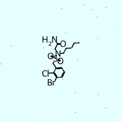 CCCCCN(CC(N)=O)S(=O)(=O)Cc1cccc(Br)c1Cl